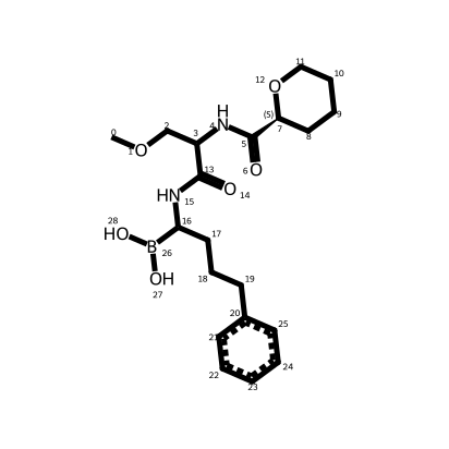 COCC(NC(=O)[C@@H]1CCCCO1)C(=O)NC(CCCc1ccccc1)B(O)O